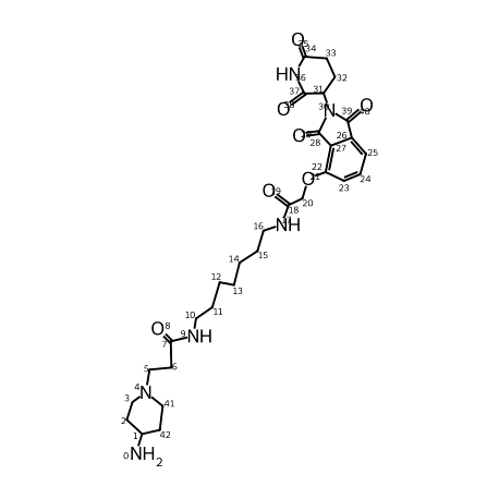 NC1CCN(CCC(=O)NCCCCCCCNC(=O)COc2cccc3c2C(=O)N(C2CCC(=O)NC2=O)C3=O)CC1